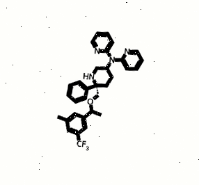 Cc1cc(C(C)OC[C@@]2(c3ccccc3)CCC(N(c3ccccn3)c3ccccn3)CN2)cc(C(F)(F)F)c1